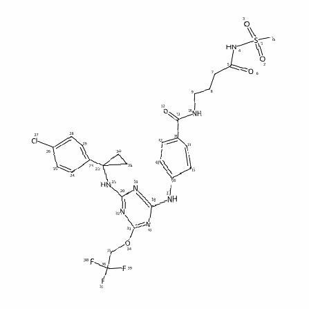 CS(=O)(=O)NC(=O)CCCNC(=O)c1ccc(Nc2nc(NC3(c4ccc(Cl)cc4)CC3)nc(OCC(F)(F)F)n2)cc1